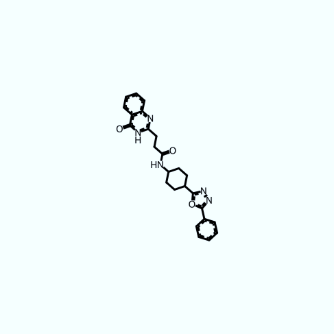 O=C(CCc1nc2ccccc2c(=O)[nH]1)NC1CCC(c2nnc(-c3ccccc3)o2)CC1